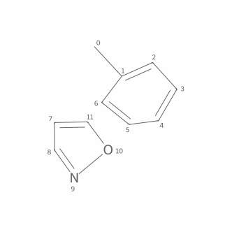 Cc1ccccc1.c1cnoc1